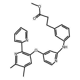 COC(=O)CCc1cccc(Nc2cc(Oc3cc(C)c(C)nc3-c3ccccn3)ccn2)c1